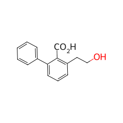 O=C(O)c1c(CCO)cccc1-c1ccccc1